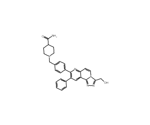 NC(=O)C1CCN(Cc2ccc(-c3nc4ccn5c(CO)nnc5c4cc3-c3ccccc3)cc2)CC1